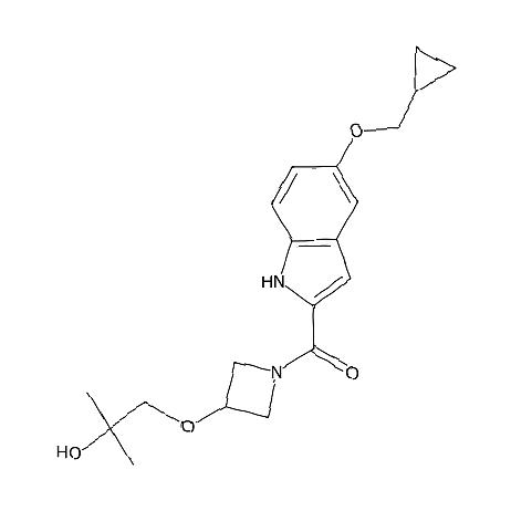 CC(C)(O)COC1CN(C(=O)c2cc3cc(OCC4CC4)ccc3[nH]2)C1